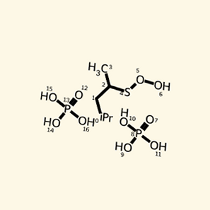 CC(C)CC(C)SOO.O=P(O)(O)O.O=P(O)(O)O